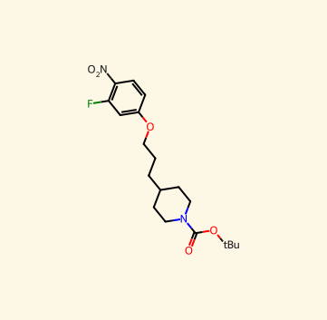 CC(C)(C)OC(=O)N1CCC(CCCOc2ccc([N+](=O)[O-])c(F)c2)CC1